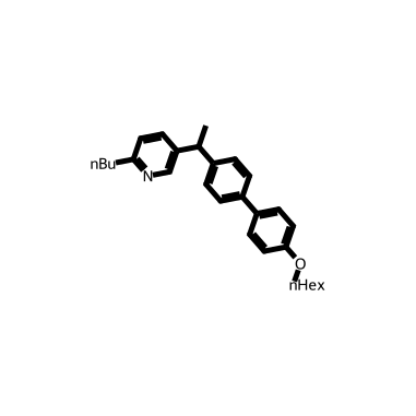 CCCCCCOc1ccc(-c2ccc(C(C)c3ccc(CCCC)nc3)cc2)cc1